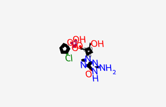 Nc1nc2c(ncn2[C@@H]2C[C@H](CO)[C@@H]2COP(=O)(O)Oc2cccc(Cl)c2)c(=O)[nH]1